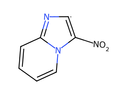 O=[N+]([O-])c1[c]nc2ccccn12